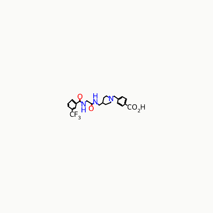 O=C(CNC(=O)c1cccc(C(F)(F)F)c1)NCC1CCN(Cc2ccc(C(=O)O)cc2)CC1